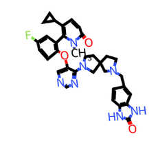 Cn1c(-c2cc(F)ccc2Oc2cncnc2N2CCC3(CCN(Cc4ccc5[nH]c(=O)[nH]c5c4)C3)C2)c(C2CC2)ccc1=O